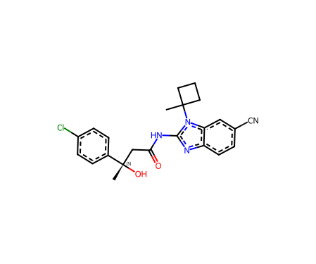 CC1(n2c(NC(=O)C[C@](C)(O)c3ccc(Cl)cc3)nc3ccc(C#N)cc32)CCC1